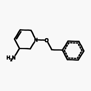 NC1C=CCN(OCc2ccccc2)C1